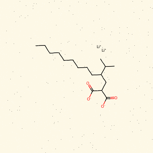 CCCCCCCCCC(CC(C(=O)[O-])C(=O)[O-])C(C)C.[Li+].[Li+]